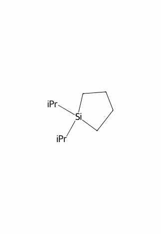 CC(C)[Si]1(C(C)C)CCCC1